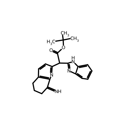 CC(C)(C)OC(=O)C(c1ccc2c(n1)C(=N)CCC2)c1nc2ccccc2[nH]1